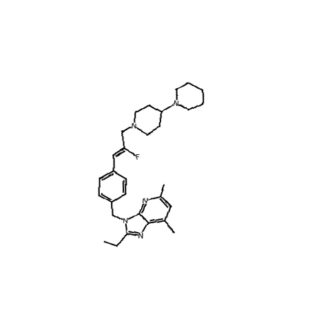 CCc1nc2c(C)cc(C)nc2n1Cc1ccc(C=C(F)CN2CCC(N3CCCCC3)CC2)cc1